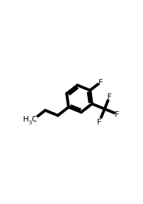 CCCc1ccc(F)c(C(F)(F)F)c1